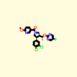 COc1ccc(C(=O)N2C[C@@H]([C@@H](C)Oc3ncc(F)cn3)[C@H](c3ccc(Cl)c(Cl)c3)C2)cn1